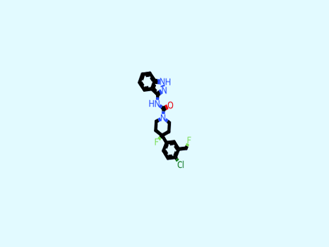 O=C(Nc1n[nH]c2ccccc12)N1CCC(F)(c2ccc(Cl)c(CF)c2)CC1